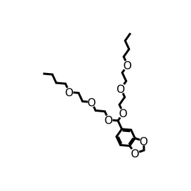 CCCCOCCOCCOC(OCCOCCOCCCC)c1ccc2c(c1)OCO2